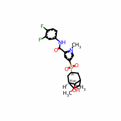 C[C@H]1CC2C[C@@H](S(=O)(=O)c3cc(C(=O)Nc4ccc(F)c(F)c4)n(C)c3)C[C@H]1[C@]2(C)O